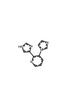 c1cnc(-c2c[nH]cn2)c(-n2ccnc2)c1